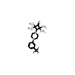 CC1(C)C(=O)C(C)(C)C1N1CCN(c2cccc(C(F)(F)F)c2)CC1